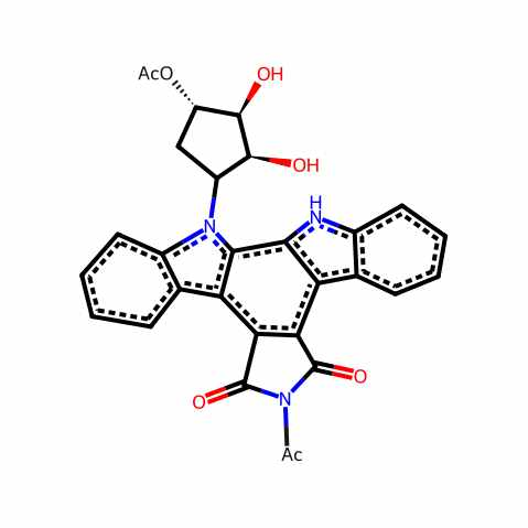 CC(=O)O[C@H]1CC(n2c3ccccc3c3c4c(c5c6ccccc6[nH]c5c32)C(=O)N(C(C)=O)C4=O)[C@H](O)[C@@H]1O